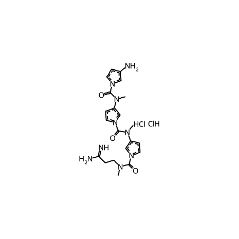 CN(CCC(=N)N)C(=O)n1ccc(N(C)C(=O)n2ccc(N(C)C(=O)n3ccc(N)c3)c2)c1.Cl.Cl